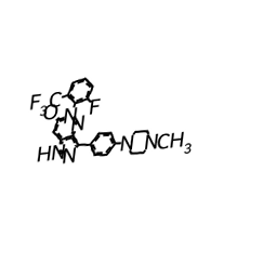 CN1CCN(c2ccc(-c3n[nH]c4cc(=O)n(-c5c(F)cccc5C(F)(F)F)nc34)cc2)CC1